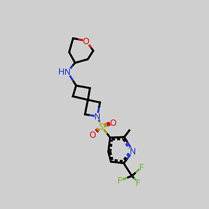 Cc1nc(C(F)(F)F)ccc1S(=O)(=O)N1CC2(CC(NC3CCOCC3)C2)C1